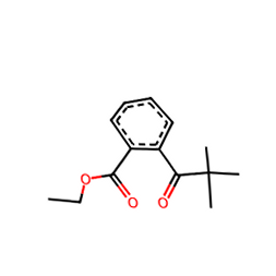 CCOC(=O)c1ccccc1C(=O)C(C)(C)C